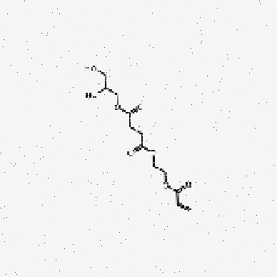 C=CC(=O)OCCOC(=O)CCC(=O)OCC(O)CO